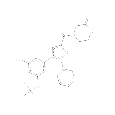 CC(F)(F)Oc1cc(Br)cc(-c2cc(C(=O)N3CCNC(=O)C3)nn2-c2cccnc2)c1